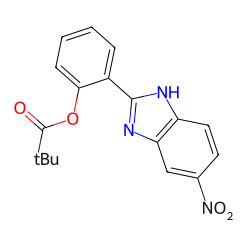 CC(C)(C)C(=O)Oc1ccccc1-c1nc2cc([N+](=O)[O-])ccc2[nH]1